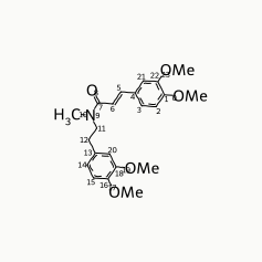 COc1ccc(/C=C/C(=O)N(C)CCc2ccc(OC)c(OC)c2)cc1OC